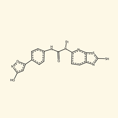 CCN(C(=O)Nc1ccc(-c2cc(O)no2)cc1)c1ccc2nc(S)sc2n1